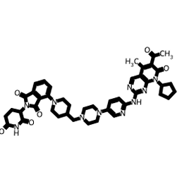 CC(=O)c1c(C)c2cnc(Nc3ccc(N4CCN(CC5CCN(c6cccc7c6C(=O)N(C6CCC(=O)NC6=O)C7=O)CC5)CC4)cn3)nc2n(C2CCCC2)c1=O